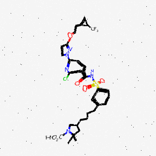 CC1(C)CC(CCCCc2cccc(S(=O)(=O)NC(=O)c3ccc(-n4ccc(OCCC5CC5C(F)(F)F)n4)nc3Cl)c2)CN1C(=O)O